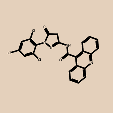 O=C(NC1=NN(c2c(Cl)cc(Cl)cc2Cl)C(=O)C1)c1c2ccccc2nc2ccccc12